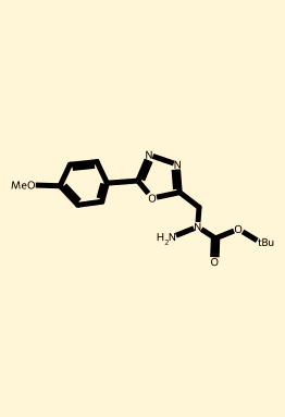 COc1ccc(-c2nnc(CN(N)C(=O)OC(C)(C)C)o2)cc1